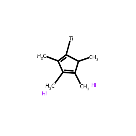 CC1=C(C)C(C)[C]([Ti])=C1C.I.I